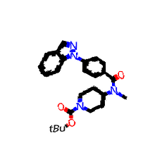 CN(C(=O)c1ccc(-n2ncc3ccccc32)cc1)C1CCN(C(=O)OC(C)(C)C)CC1